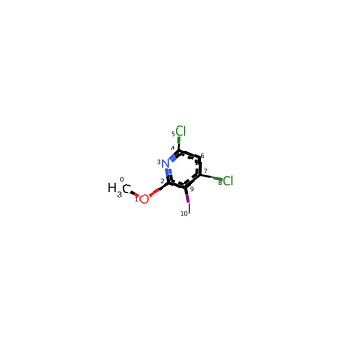 COc1nc(Cl)cc(Cl)c1I